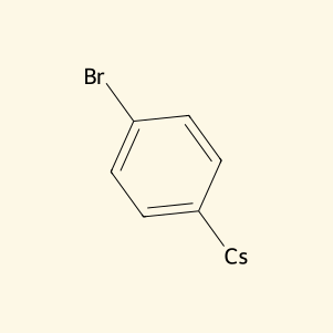 Brc1cc[c]([Cs])cc1